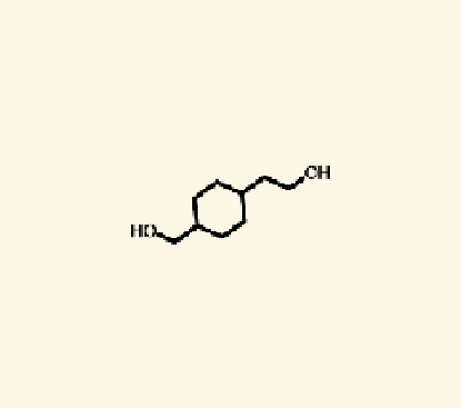 OCCC1CCC(CO)CC1